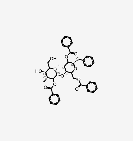 C[C@@H]1C(OC(=O)c2ccccc2)[C@H](Sc2ccccc2)OC(COC(=O)c2ccccc2)[C@H]1O[C@@H]1OC(CO)[C@H](O)[C@H](C)C1OC(=O)c1ccccc1